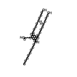 COCCOCCOCCOCCOCCOCCOCCOCCNS(=O)(=O)C1=CC(S(=O)(=O)COCCOCCOCCOCCNCCOCCOCCOCCO)=C2C=CC3=C(S(=O)(=O)COCCOCCOCCOCCNCCOCCOCCOCCO)C=C(OCCCCCC(=O)O)C4=CC=C1C2C43